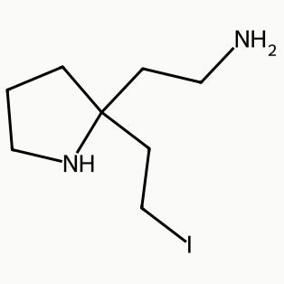 NCCC1(CCI)CCCN1